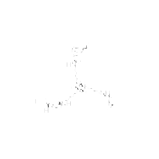 CCCCOCC(CN1CC1C)OC(=O)NCCCCCCn1c(=O)n(CCCCCCNC(=O)OC(C)CN2CC2C)c(=O)n(CCCCCCNC(=O)OC(C)CN2CC2C)c1=O